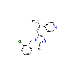 CCCCc1ncc(C(C)=C(C(=O)O)c2ccncc2)n1Cc1ccccc1Cl